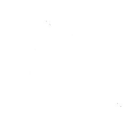 CC(C)(C)NS(=O)(=O)c1cc(CN)ccc1F